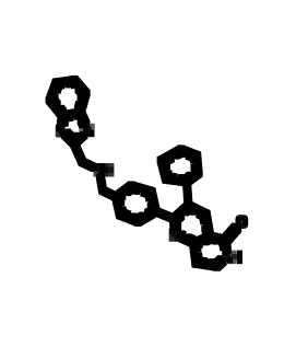 O=c1[nH]ccc2nc(-c3ccc(CNCc4nc5ccccc5s4)cc3)c(-c3ccccc3)cc12